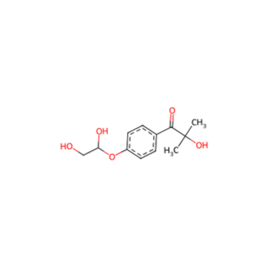 CC(C)(O)C(=O)c1ccc(OC(O)CO)cc1